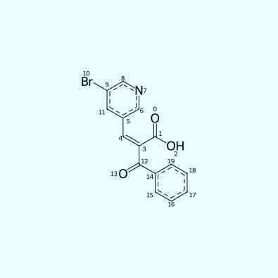 O=C(O)/C(=C\c1cncc(Br)c1)C(=O)c1ccccc1